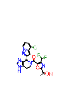 C[C@@H](O)c1nc(C(F)F)c(C(=O)N2CCc3[nH]cnc3[C@@H]2c2cc3c(Cl)cccn3n2)o1